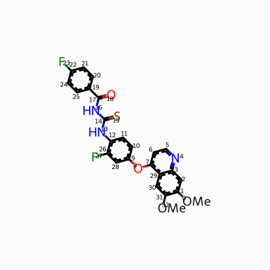 COc1cc2nccc(Oc3ccc(NC(=S)NC(=O)c4ccc(F)cc4)c(F)c3)c2cc1OC